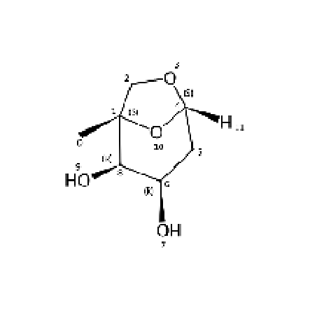 C[C@]12CO[C@H](C[C@@H](O)[C@H]1O)O2